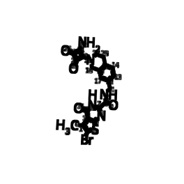 Cc1c(Br)sc2nc(C(=O)NCc3ccc4c(c3)CN(c3c(N)c(=O)c3=O)CC4)[nH]c(=O)c12